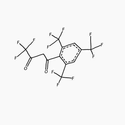 O=C(CC(=O)C(F)(F)F)c1c(C(F)(F)F)cc(C(F)(F)F)cc1C(F)(F)F